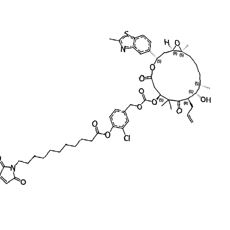 C=CC[C@H]1C(=O)C(C)(C)[C@@H](OC(=O)OCc2ccc(OC(=O)CCCCCCCCCCN3C(=O)C=CC3=O)c(Cl)c2)CC(=O)O[C@H](c2ccc3sc(C)nc3c2)C[C@H]2O[C@@]2(C)CCC[C@H](C)[C@@H]1O